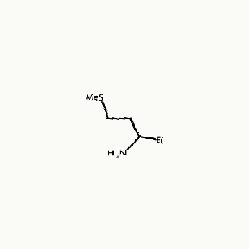 CCC(N)CCSC